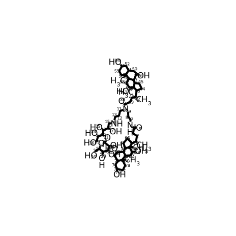 CC(CCC(=O)NCCCN(CCCNCC(O)C(O)C(OC1OC(CO)C(O)C(O)C1O)C(O)CO)C(=O)CCC(C)C1CCC2C3C(O)CC4CC(O)CCC4(C)C3CC(O)C12C)C1CCC2C3C(O)CC4CC(O)CCC4(C)C3CC(O)C12C